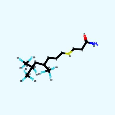 NC(=O)CCSCCCC(CC(F)(C(F)(F)F)C(F)(F)F)C(F)(F)F